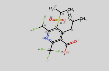 CC(C)Cc1c(C(=O)O)c(C(F)(F)F)nc(C(F)F)c1S(=O)(=O)C(C)C